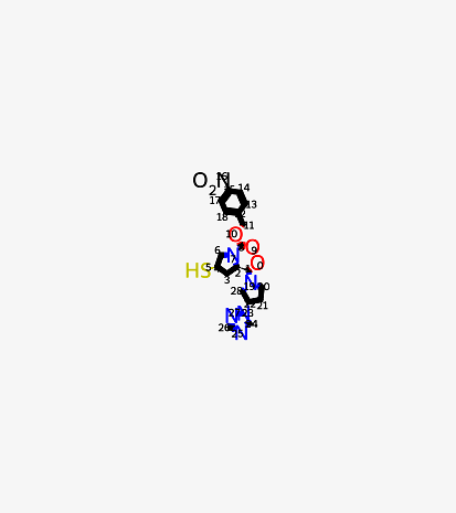 O=C([C@@H]1C[C@H](S)CN1C(=O)OCc1ccc([N+](=O)[O-])cc1)N1CC[C@H](n2cncn2)C1